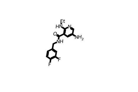 CCNc1ncc(N)cc1C(=O)NCc1ccc(F)c(F)c1